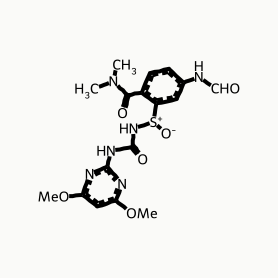 COc1cc(OC)nc(NC(=O)N[S+]([O-])c2cc(NC=O)ccc2C(=O)N(C)C)n1